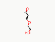 O=[C]C=COCCO